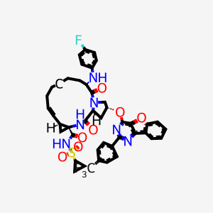 O=C1N[C@]2(C(=O)NS(=O)(=O)C3CC3)C[C@H]2/C=C\CCCCC[C@H](Nc2ccc(F)cc2)C(=O)N2C[C@H](Oc3nc(-c4ccc(C(F)(F)F)cc4)nc4c3oc3ccccc34)C[C@@H]12